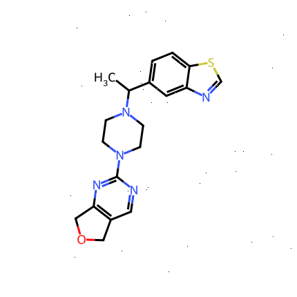 CC(c1ccc2scnc2c1)N1CCN(c2ncc3c(n2)COC3)CC1